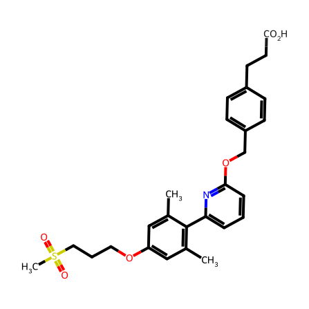 Cc1cc(OCCCS(C)(=O)=O)cc(C)c1-c1cccc(OCc2ccc(CCC(=O)O)cc2)n1